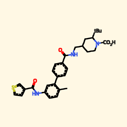 Cc1ccc(NC(=O)c2ccsc2)cc1-c1ccc(C(=O)NCC2CCN(C(=O)O)C(C(C)(C)C)C2)cc1